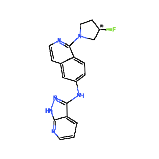 F[C@@H]1CCN(c2nccc3cc(Nc4n[nH]c5ncccc45)ccc23)C1